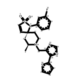 C[C@H]1C[C@@]2(C=CS(=O)(=O)N2c2cccc(F)c2)CCN1Cc1ncoc1-c1cccs1